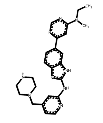 CCN(C)c1cc(-c2ccc3nc(Nc4cc(CN5CCNCC5)ccn4)[nH]c3c2)ncn1